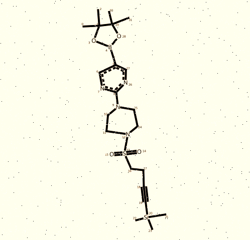 CC1(C)OB(c2cnc(N3CCN(S(=O)(=O)CCC#C[Si](C)(C)C)CC3)nc2)OC1(C)C